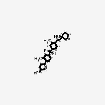 CCCc1ccc(-c2ccc(C(CC)(CC)c3ccc(CCC4(O)CCCCC4)c(C)c3)cc2C)nc1